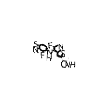 C[C@@H]1NCCC[C@@H]1c1cc2c(Nc3ccc4scnc4c3F)c(F)cnc2s1